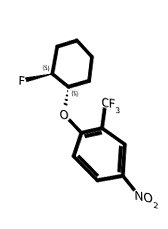 O=[N+]([O-])c1ccc(O[C@H]2CCCC[C@@H]2F)c(C(F)(F)F)c1